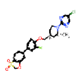 C[C@@H]1C[C@@H](COc2ccc(-c3ccc4c(c3)OCS4(=O)=O)cc2F)CCN1c1ncc(Cl)cn1